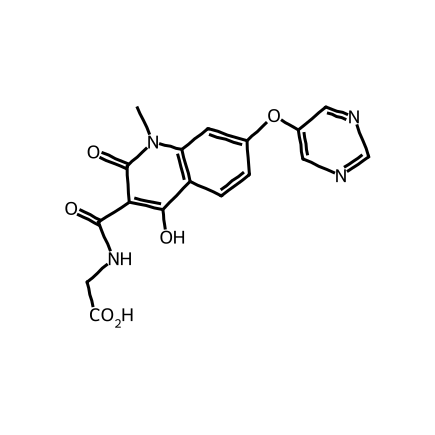 Cn1c(=O)c(C(=O)NCC(=O)O)c(O)c2ccc(Oc3cncnc3)cc21